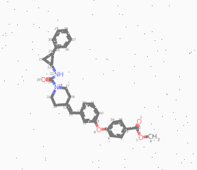 COC(=O)c1ccc(Oc2cccc(C=C3CCN(C(=O)NC4CC4c4ccccc4)CC3)c2)cc1